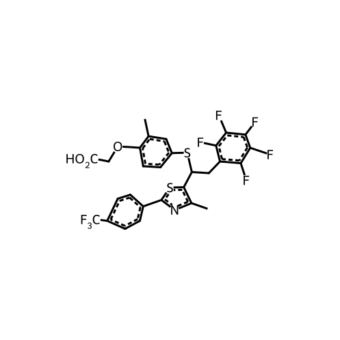 Cc1cc(SC(Cc2c(F)c(F)c(F)c(F)c2F)c2sc(-c3ccc(C(F)(F)F)cc3)nc2C)ccc1OCC(=O)O